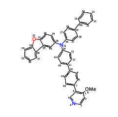 COc1ccncc1-c1ccc(-c2ccc(N(c3ccc(-c4ccccc4)cc3)c3ccc4oc5ccccc5c4c3)cc2)cc1